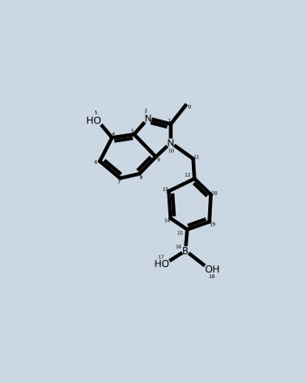 Cc1nc2c(O)cccc2n1Cc1ccc(B(O)O)cc1